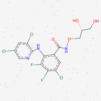 O=C(NOC[C@H](O)CO)c1cc(Cl)c(F)c(F)c1Nc1ncc(Cl)cc1Cl